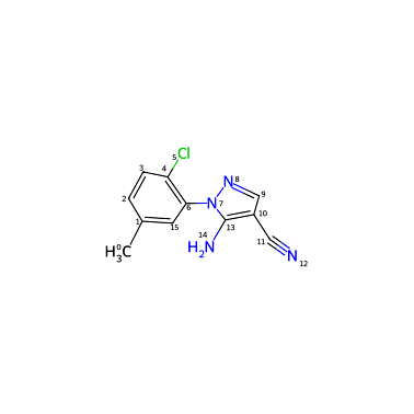 Cc1ccc(Cl)c(-n2ncc(C#N)c2N)c1